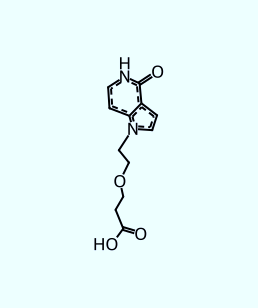 O=C(O)CCOCCn1ccc2c(=O)[nH]ccc21